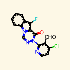 O=Cc1c(Cl)ccnc1-n1ncn2c(c(F)c3ccccc32)c1=O